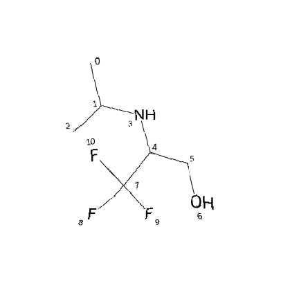 CC(C)NC(CO)C(F)(F)F